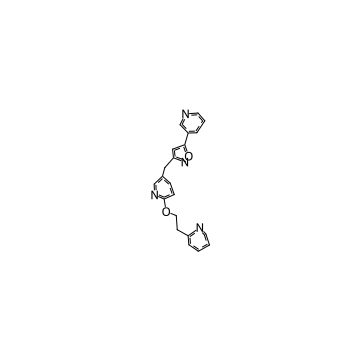 c1ccc(CCOc2ccc(Cc3cc(-c4cccnc4)on3)cn2)nc1